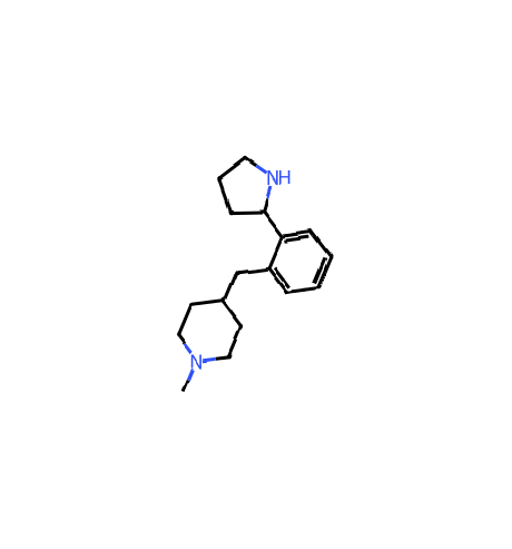 CN1CCC(Cc2ccccc2C2CCCN2)CC1